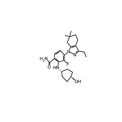 CCc1nn(-c2ccc(C(N)=O)c(N[C@H]3CC[C@H](O)CC3)c2F)c2c1CCC(C)(C)C2